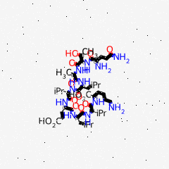 CC(C)C[C@H](NC(=O)[C@H](C)NC(=O)[C@@H](NC(=O)[C@@H](N)CCC(N)=O)[C@@H](C)O)C(=O)N[C@H](C(=O)N[C@@H](CCC(=O)O)C(=O)N[C@@H](CC(C)C)C(=O)N[C@H](C(=O)N[C@@H](CCCCN)C(=O)O)C(C)C)C(C)C